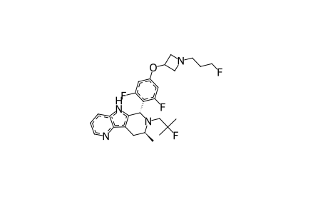 C[C@H]1Cc2c([nH]c3cccnc23)[C@H](c2c(F)cc(OC3CN(CCCF)C3)cc2F)N1CC(C)(C)F